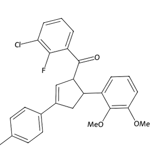 COc1cccc(C2CC(c3ccc(F)cc3)=CC2C(=O)c2cccc(Cl)c2F)c1OC